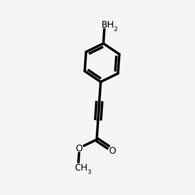 Bc1ccc(C#CC(=O)OC)cc1